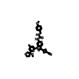 COc1ccc(CNC(=O)Nc2cc3c(cn2)c(C2CC(C#N)C2)nn3-c2cc(C)cc([C@@]3(OC)CCOC3)n2)cc1